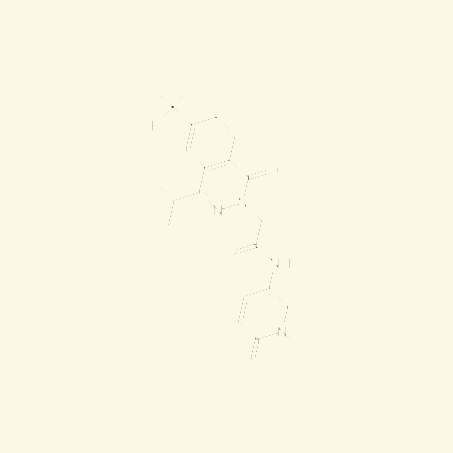 CC(C)c1nn(CC(=O)Nc2ccc(=O)n(C)c2)c(=O)c2ccc(C(C)(F)F)cc12